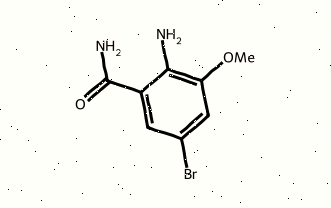 COc1cc(Br)cc(C(N)=O)c1N